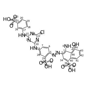 Nc1c(N=Nc2ccc(Nc3nc(Cl)nc(Nc4cccc(S(=O)(=O)O)c4)n3)cc2S(=O)(=O)O)cc(S(=O)(=O)O)c2cccc(O)c12